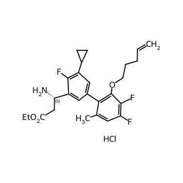 C=CCCCOc1c(F)c(F)cc(C)c1-c1cc(C2CC2)c(F)c([C@@H](N)CC(=O)OCC)c1.Cl